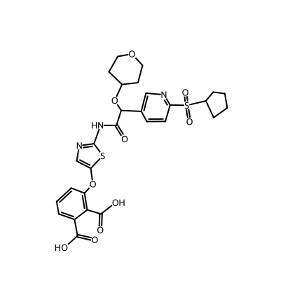 O=C(O)c1cccc(Oc2cnc(NC(=O)C(OC3CCOCC3)c3ccc(S(=O)(=O)C4CCCC4)nc3)s2)c1C(=O)O